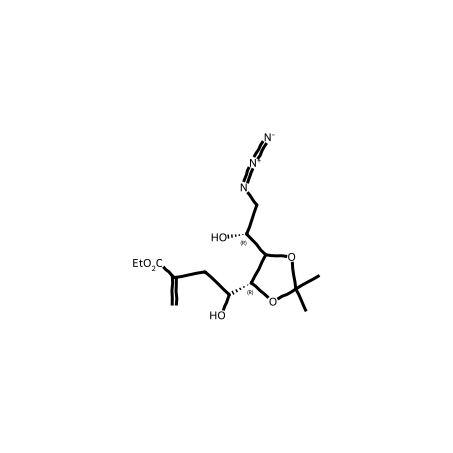 C=C(CC(O)[C@H]1OC(C)(C)OC1[C@H](O)CN=[N+]=[N-])C(=O)OCC